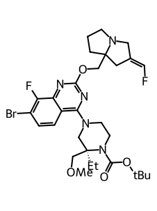 CC[C@]1(COC)CN(c2nc(OCC34CCCN3C/C(=C/F)C4)nc3c(F)c(Br)ccc23)CCN1C(=O)OC(C)(C)C